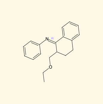 CCOCC1CCc2ccccc2/C1=N/c1ccccc1